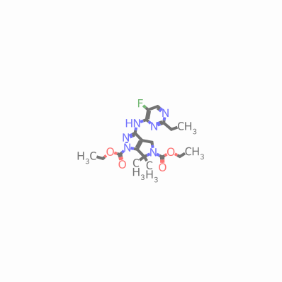 CCOC(=O)N1Cc2c(Nc3nc(CC)ncc3F)nn(C(=O)OCC)c2C1(C)C